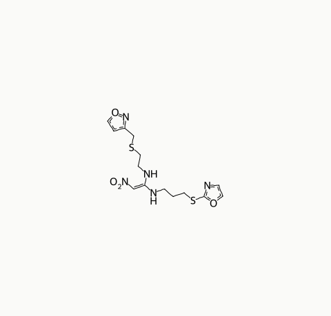 O=[N+]([O-])C=C(NCCCSc1ncco1)NCCSCc1ccon1